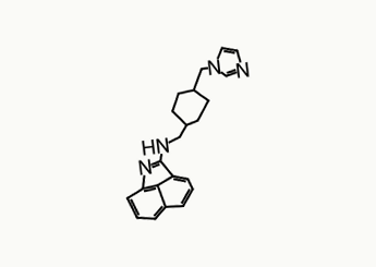 c1cc2c3c(cccc3c1)C(NCC1CCC(Cn3ccnc3)CC1)=N2